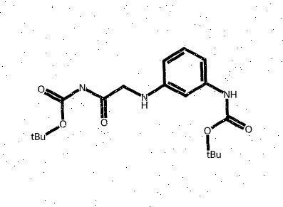 CC(C)(C)OC(=O)[N]C(=O)CNc1cccc(NC(=O)OC(C)(C)C)c1